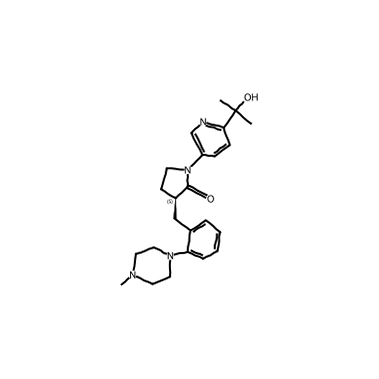 CN1CCN(c2ccccc2C[C@H]2CCN(c3ccc(C(C)(C)O)nc3)C2=O)CC1